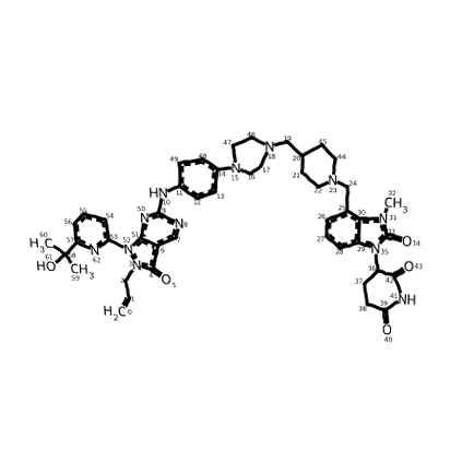 C=CCn1c(=O)c2cnc(Nc3ccc(N4CCN(CC5CCN(Cc6cccc7c6n(C)c(=O)n7C6CCC(=O)NC6=O)CC5)CC4)cc3)nc2n1-c1cccc(C(C)(C)O)n1